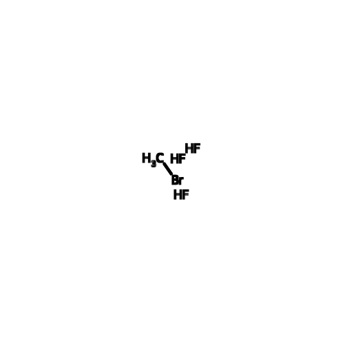 CBr.F.F.F